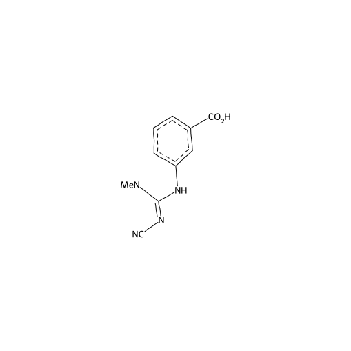 CN/C(=N\C#N)Nc1cccc(C(=O)O)c1